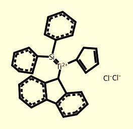 C1=CC[C]([Ti+2]([CH]2c3ccccc3-c3ccccc32)=[Si](c2ccccc2)c2ccccc2)=C1.[Cl-].[Cl-]